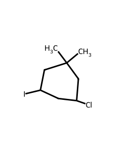 CC1(C)CC(Cl)CC(I)C1